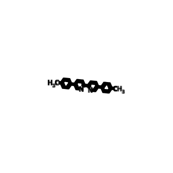 Cc1ccc(-c2ccc(-c3ccc(-c4ccc(C)cc4)cn3)nc2)cc1